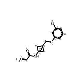 C=CC(=O)NC12CC(COc3cccc(CC)c3)(C1)C2